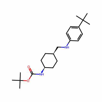 CC(C)(C)OC(=O)N[C@H]1CC[C@@H](CNc2ccc(C(C)(C)C)cc2)CC1